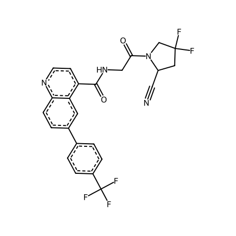 N#CC1CC(F)(F)CN1C(=O)CNC(=O)c1ccnc2ccc(-c3ccc(C(F)(F)F)cc3)cc12